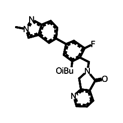 CC(C)COc1cc(-c2ccc3nn(C)cc3c2)cc(F)c1CN1Cc2ncccc2C1=O